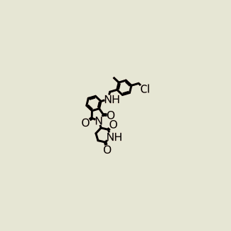 Cc1cc(CCl)ccc1CNc1cccc2c1C(=O)N(C1CCC(=O)NC1=O)C2=O